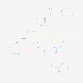 NC(Cc1ccccc1)c1nc(C(=O)NC(Cc2ccccc2)c2nc(C(=O)NC(Cc3ccccc3)c3nc(C(=O)O)co3)co2)co1